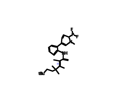 C=C(Nc1ccccc1C1=CN(C)C(P(F)F)C=C1)/C(C)=C(\C)C(C)(C)CCC(C)(C)C